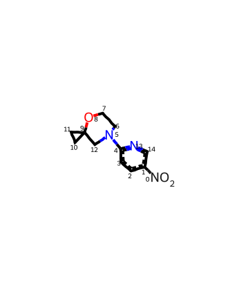 O=[N+]([O-])c1ccc(N2CCOC3(CC3)C2)nc1